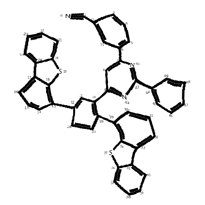 N#Cc1cccc(-c2cc(-c3cc(-c4cccc5c4sc4ccccc45)ccc3-c3cccc4c3sc3ccccc34)nc(-c3ccccc3)n2)c1